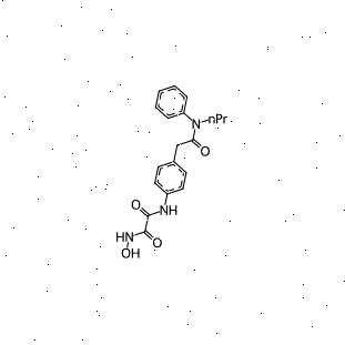 CCCN(C(=O)Cc1ccc(NC(=O)C(=O)NO)cc1)c1ccccc1